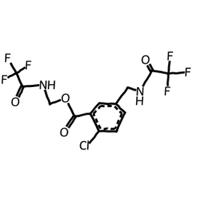 O=C(OCNC(=O)C(F)(F)F)c1cc(CNC(=O)C(F)(F)F)ccc1Cl